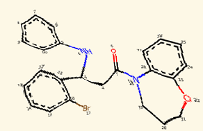 O=C(C[C@H](Nc1ccccc1)c1ccccc1Br)N1CCCOc2ccccc21